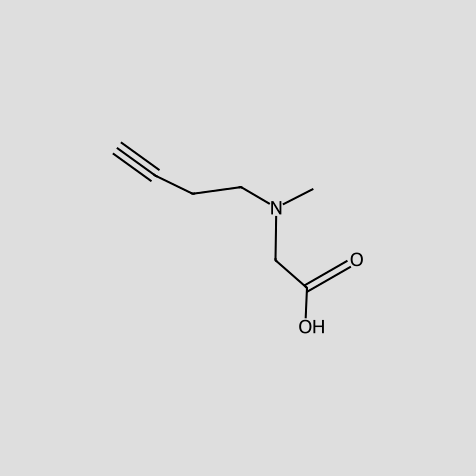 C#CCCN(C)CC(=O)O